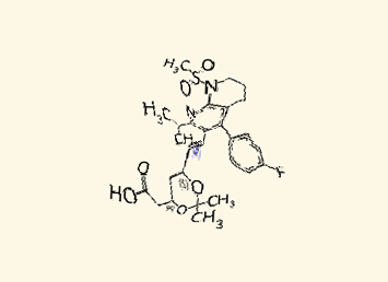 CC(C)c1nc2c(c(-c3ccc(F)cc3)c1/C=C/[C@@H]1C[C@H](CC(=O)O)OC(C)(C)O1)CCCN2S(C)(=O)=O